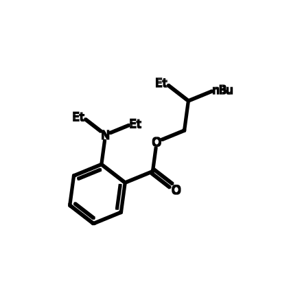 CCCCC(CC)COC(=O)c1ccccc1N(CC)CC